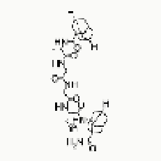 CC(C)C[C@H](NC(=O)CNC(=O)CNC(=O)[C@H](C)NC(=O)C12CC3C[C@H](C1)C[C@H](C3)C2)C(=O)N[C@@]12CC3C[C@H](C1)C[C@](C(N)=O)(C3)C2